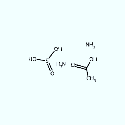 CC(=O)O.N.N.O=S(O)O